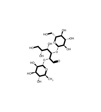 C[C@@H]1O[C@@H](O[C@@H](C=O)[C@@H](O[C@@H]2O[C@H](CO)[C@@H](O)[C@H](O)[C@H]2O)[C@@H](O)[C@H](O)CO)[C@H](O)[C@H](O)[C@H]1O